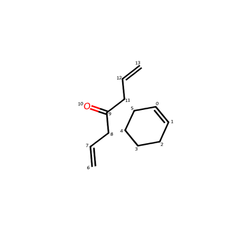 C1=CCCCC1.C=CCC(=O)CC=C